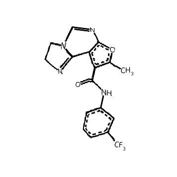 Cc1oc2c(c1C(=O)Nc1cccc(C(F)(F)F)c1)C1=NCCN1C=N2